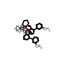 Cc1cccc(-c2cccc3c2C=C[CH]3[Hf]([CH3])([CH3])([CH3])(=[SiH2])([CH]2CCCCC2)[CH]2C=Cc3c(-c4cccc(C)c4)cccc32)c1